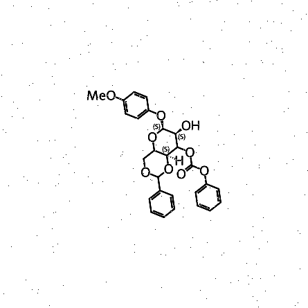 COc1ccc(O[C@@H]2OC3COC(c4ccccc4)O[C@@H]3C(OC(=O)Oc3ccccc3)[C@@H]2O)cc1